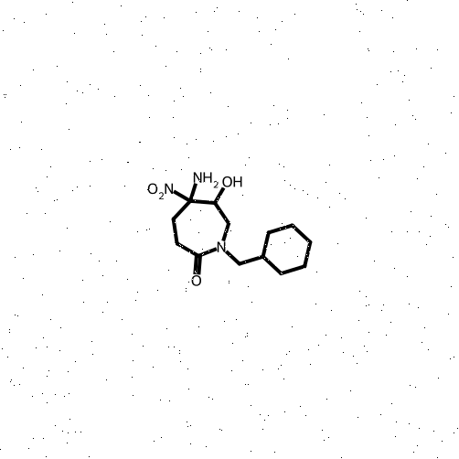 NC1([N+](=O)[O-])CCC(=O)N(CC2CCCCC2)CC1O